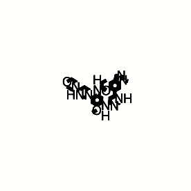 CCC(=O)Nc1cc(NC2=NCNC(c3ccc4cnn(C)c4c3)=C2)c(OC)cc1N1CCC(N2CCOCC2)NC1